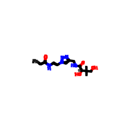 CC(C)CC(=O)NCCn1cc(CNC(=O)[C@H](O)C(C)(C)CO)nn1